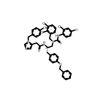 N#Cc1ccc(Cn2cncc2CC(=O)N[C@@H](Cc2ccc(OCc3ccccc3)cc2)CN(Cc2cccc(Cl)c2Cl)C(=S)Nc2ccc(Cl)cc2Cl)cc1